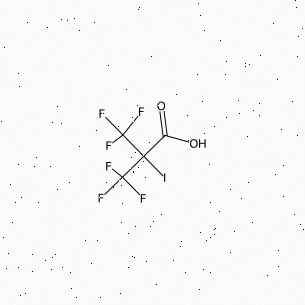 O=C(O)C(I)(C(F)(F)F)C(F)(F)F